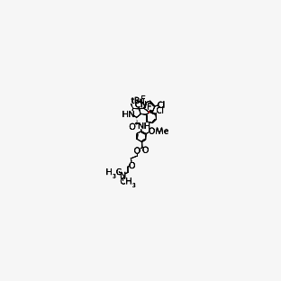 COc1cc(C(=O)OCCOCCN(C)C)ccc1NC(=O)[C@@H]1N[C@@H](CC(C)(C)C)[C@](C#N)(c2ccc(Cl)cc2F)[C@H]1c1cccc(Cl)c1F